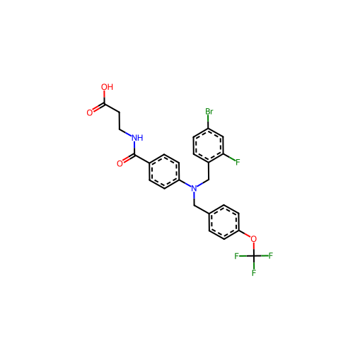 O=C(O)CCNC(=O)c1ccc(N(Cc2ccc(OC(F)(F)F)cc2)Cc2ccc(Br)cc2F)cc1